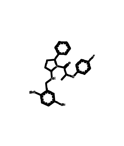 COc1ccc(C(C)(C)C)cc1CNC1CCC(c2ccccc2)N1C(=O)C(C)Oc1ccc(F)cc1